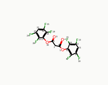 O=C(CC(=O)Oc1c(F)c(F)cc(F)c1F)Oc1c(F)c(F)cc(F)c1F